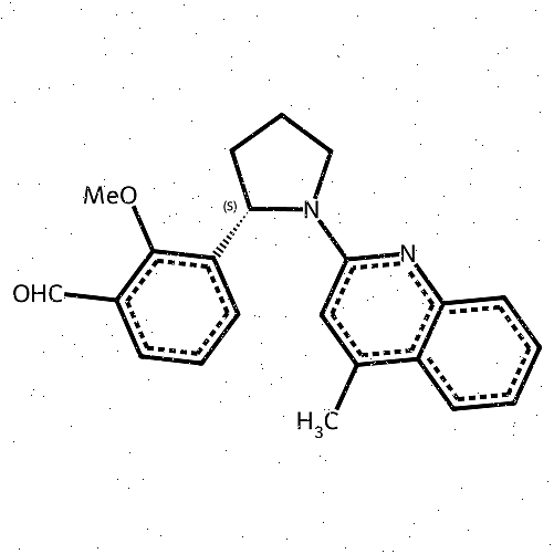 COc1c(C=O)cccc1[C@@H]1CCCN1c1cc(C)c2ccccc2n1